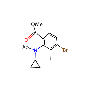 COC(=O)c1ccc(Br)c(C)c1N(C(C)=O)C1CC1